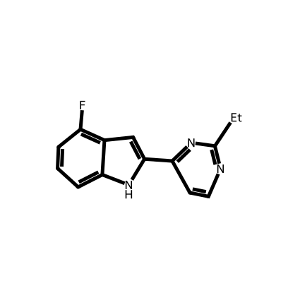 CCc1nccc(-c2cc3c(F)cccc3[nH]2)n1